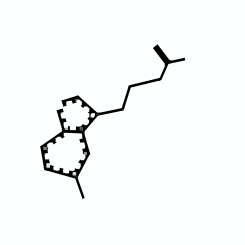 O=C(O)CCCc1coc2ccc(F)cc12